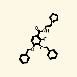 O=C(NCCN1CCCC1)c1ccc(OCc2ccccc2)c(OCc2ccccc2)c1F